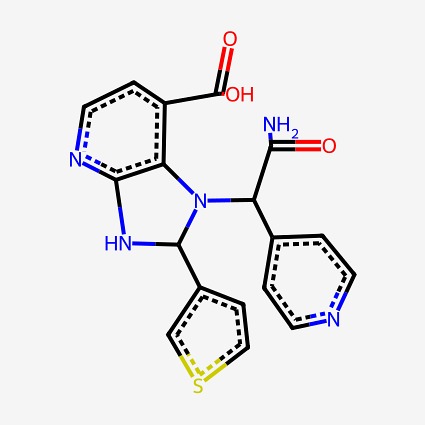 NC(=O)C(c1ccncc1)N1c2c(C(=O)O)ccnc2NC1c1ccsc1